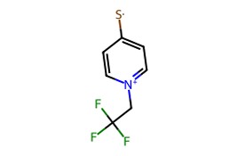 FC(F)(F)C[n+]1ccc([S])cc1